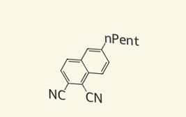 CCCCCc1ccc2c(C#N)c(C#N)ccc2c1